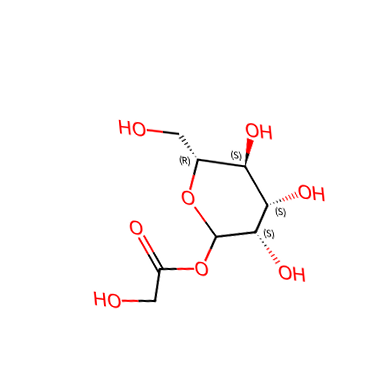 O=C(CO)OC1O[C@H](CO)[C@@H](O)[C@H](O)[C@@H]1O